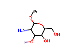 CC(C)OC1OC(CO)C(O)C(OI)C1N